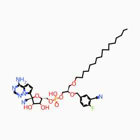 CCCCCCCCCCCCCCCCOC[C@H](COP(=O)(O)OC[C@H]1O[C@@](C#N)(c2ccc3c(N)ncnn23)[C@H](O)[C@@H]1O)OCc1ccc(F)c(C#N)c1